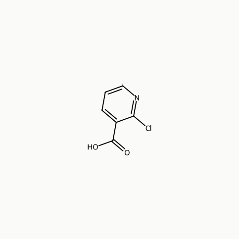 O=C(O)c1cc[c]nc1Cl